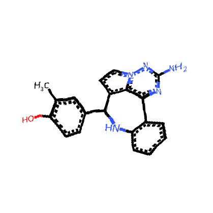 Cc1cc(C2Nc3ccccc3-c3nc(N)nn4ccc2c34)ccc1O